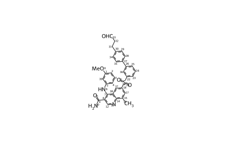 COc1cccc(Nc2c(C(N)=O)cnc3c(C)cc(S(=O)(=O)c4cccc(-c5ccc(CCC=O)cc5)c4)cc23)c1